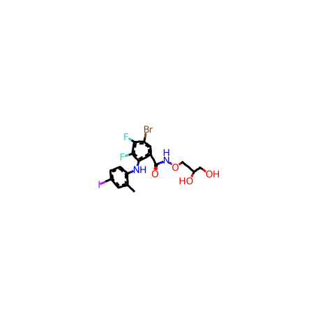 Cc1cc(I)ccc1Nc1c(C(=O)NOCC(O)CO)cc(Br)c(F)c1F